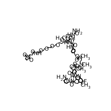 Cc1c(F)cc2nc3c(c4c2c1CC[C@H]4NC(=O)c1cccc(N)n1)Cn1c-3cc2c(c1=O)COC(=O)[C@]2(C)OC(=O)N(C)CCN(C)C(=O)OCc1ccc(NC(=O)[C@H](CCCNC(N)=O)NC(=O)[C@@H](NC(=O)CCOCCOCCOCCOCCNC(=O)CCN2C(=O)C=CC2=O)C(C)C)cc1